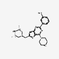 C[C@@H]1CN(Cc2cc3nc(-c4cccc(O)c4)nc(N4CCOCC4)c3s2)C[C@H](C)N1